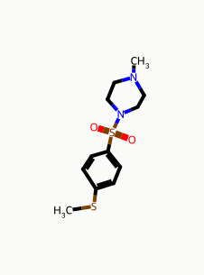 CSc1ccc(S(=O)(=O)N2CCN(C)CC2)cc1